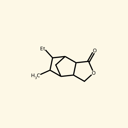 CCC1C(C)C2CC1C1C(=O)OCC21